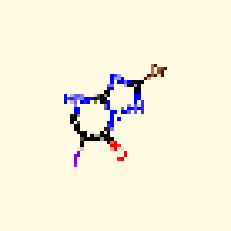 O=c1c(I)c[nH]c2nc(Br)nn12